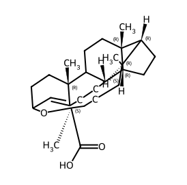 C[C@@H]1CCC[C@@](C)(C(=O)O)OC2C=C3CC[C@@H]4C(CC[C@]5(C)[C@@H]1CC[C@H]45)[C@@]3(C)CC2